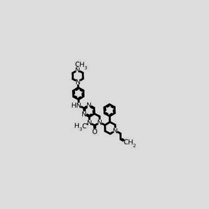 C=CCN1CCC(N2Cc3cnc(Nc4ccc(N5CCN(C)CC5)cc4)nc3N(C)C2=O)C(c2ccccc2)C1